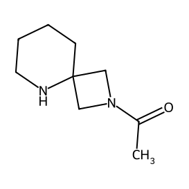 CC(=O)N1CC2(CCCCN2)C1